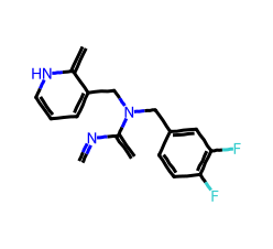 C=NC(=C)N(CC1=CC=CNC1=C)Cc1ccc(F)c(F)c1